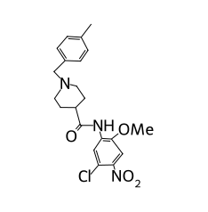 COc1cc([N+](=O)[O-])c(Cl)cc1NC(=O)C1CCN(Cc2ccc(C)cc2)CC1